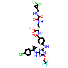 O=C(NCC[C@H](NC(=O)c1ccc(Nc2nc(NC3(c4ccc(Cl)cc4)CC3)nc(OCC(F)(F)F)n2)cc1)C(=O)O)C(=O)NCC1CC1(Cl)Cl